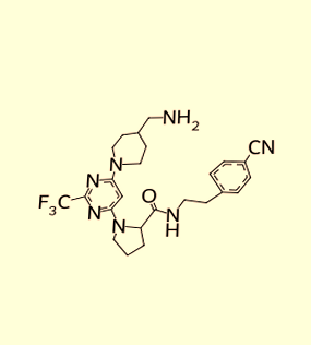 N#Cc1ccc(CCNC(=O)C2CCCN2c2cc(N3CCC(CN)CC3)nc(C(F)(F)F)n2)cc1